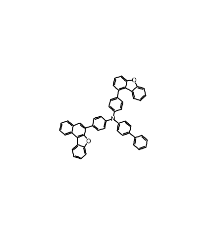 c1ccc(-c2ccc(N(c3ccc(-c4cc5ccccc5c5c4oc4ccccc45)cc3)c3ccc(-c4cccc5oc6ccccc6c45)cc3)cc2)cc1